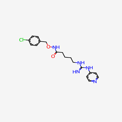 N=C(NCCCCC(=O)NOCc1ccc(Cl)cc1)Nc1ccncc1